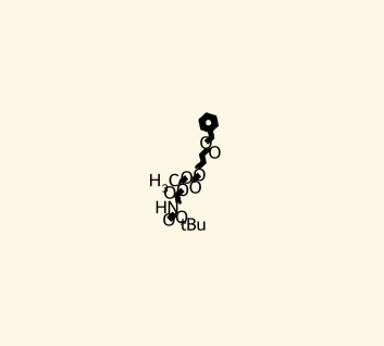 CC(OC(=O)CNC(=O)OC(C)(C)C)OC(=O)OCCCC(=O)OCc1ccccc1